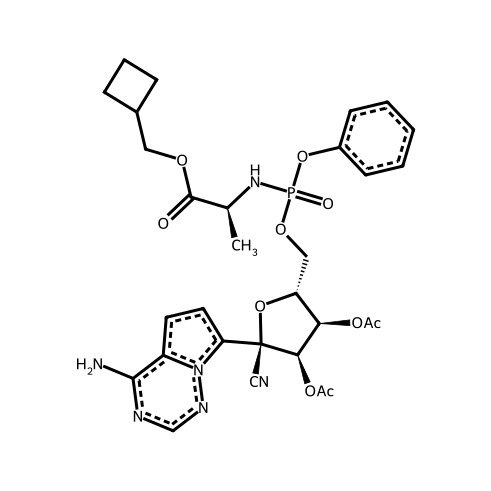 CC(=O)O[C@H]1[C@@H](OC(C)=O)[C@](C#N)(c2ccc3c(N)ncnn23)O[C@@H]1COP(=O)(N[C@@H](C)C(=O)OCC1CCC1)Oc1ccccc1